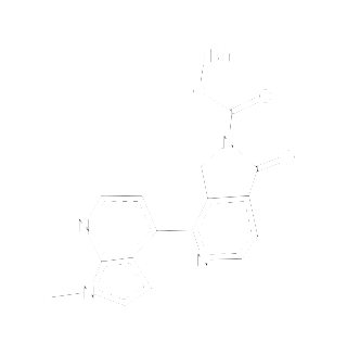 Cn1ccc2c(-c3nccc4c3CN(C(=O)OC(C)(C)C)C4=O)ccnc21